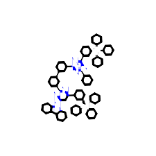 c1ccc(-c2nc(-c3cccc(-c4cccc(-c5nc(-c6cccc([Si](c7ccccc7)(c7ccccc7)c7ccccc7)c6)cc(-n6c7ccccc7c7ccccc76)n5)c4)c3)nc(-c3cccc([Si](c4ccccc4)(c4ccccc4)c4ccccc4)c3)n2)cc1